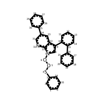 c1ccc(SOOn2cc(-c3ccccc3-c3ccccc3)c3cc(-c4ccccc4)cnc32)cc1